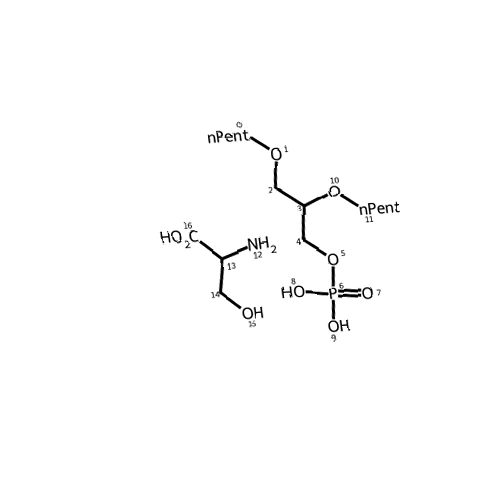 CCCCCOCC(COP(=O)(O)O)OCCCCC.NC(CO)C(=O)O